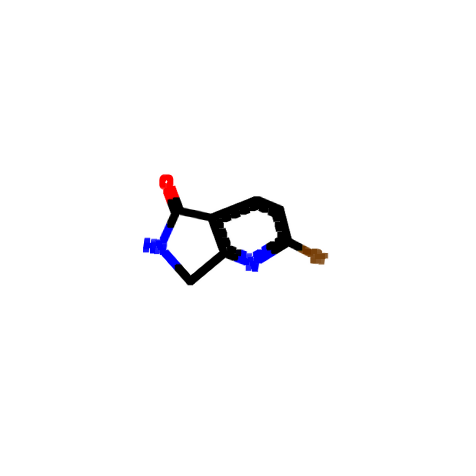 O=C1NCc2nc(Br)ccc21